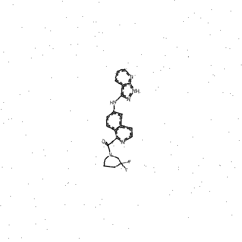 O=C(c1nccc2cc(Nc3n[nH]c4ncccc34)ccc12)N1CCCC(F)(F)C1